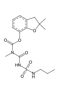 CCCNS(=O)(=O)NC(=O)N(C)C(=O)Oc1cccc2c1OC(C)(C)C2